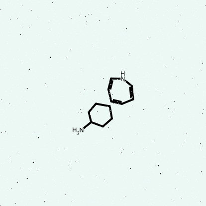 C1=CC=CNC=C1.NC1CCCCC1